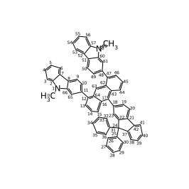 Cn1c2ccccc2c2ccc(-c3cccc4c(-c5ccc6c(c5)C(c5ccccc5)(c5ccccc5)c5ccccc5-6)c5cccc(-c6ccc7c8ccccc8n(C)c7c6)c5cc34)cc21